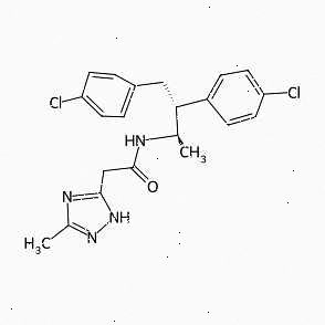 Cc1n[nH]c(CC(=O)N[C@H](C)[C@H](Cc2ccc(Cl)cc2)c2ccc(Cl)cc2)n1